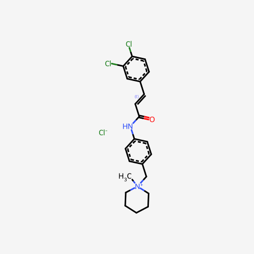 C[N+]1(Cc2ccc(NC(=O)/C=C/c3ccc(Cl)c(Cl)c3)cc2)CCCCC1.[Cl-]